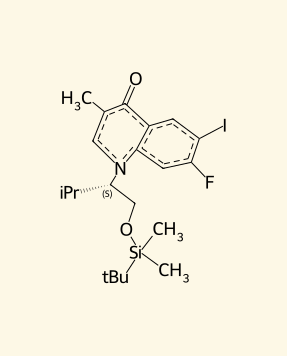 Cc1cn([C@H](CO[Si](C)(C)C(C)(C)C)C(C)C)c2cc(F)c(I)cc2c1=O